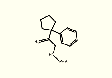 C=C(CNC(C)CCC)C1(c2ccccc2)CCCC1